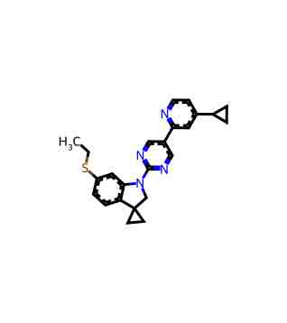 CCSc1ccc2c(c1)N(c1ncc(-c3cc(C4CC4)ccn3)cn1)CC21CC1